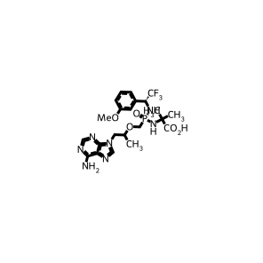 COc1cccc([C@@H](NP(=O)(COC(C)Cn2cnc3c(N)ncnc32)NC(C)(C)C(=O)O)C(F)(F)F)c1